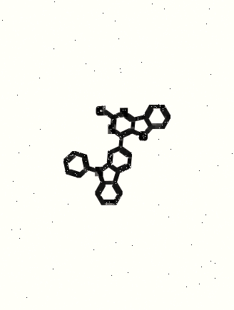 Clc1nc(-c2ccc3c4ccccc4n(-c4ccccc4)c3c2)c2oc3ccccc3c2n1